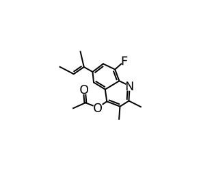 CC=C(C)c1cc(F)c2nc(C)c(C)c(OC(C)=O)c2c1